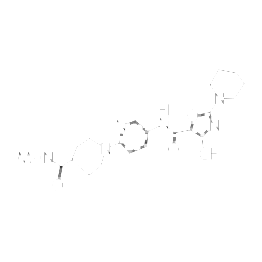 CNC(=O)C1CCN(c2ccc(NC(=O)c3oc(N4CCCCC4)nc3C(F)(F)F)cn2)CC1